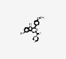 COc1ccc(C2NC(C(=O)N3CCOCC3)Cc3c2[nH]c2ccc(Br)cc32)cc1